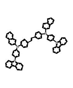 C(=C\c1ccc(N(c2ccc(-n3c4ccccc4c4ccccc43)cc2)c2ccc3ccccc3c2)cc1)/c1ccc(N(c2ccc(-n3c4ccccc4c4ccccc43)cc2)c2ccc3ccccc3c2)cc1